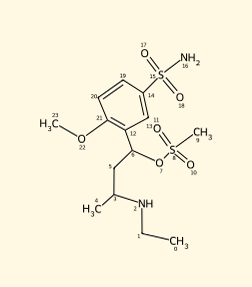 CCNC(C)CC(OS(C)(=O)=O)c1cc(S(N)(=O)=O)ccc1OC